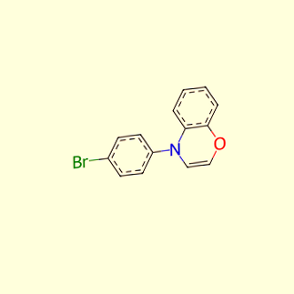 Brc1ccc(N2C=COc3ccccc32)cc1